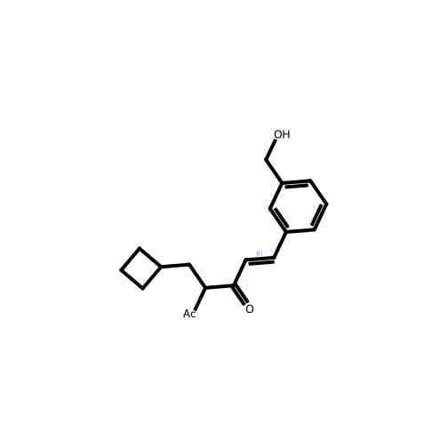 CC(=O)C(CC1CCC1)C(=O)/C=C/c1cccc(CO)c1